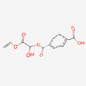 C=COC(=O)C(O)OC(=O)c1ccc(C(=O)O)cc1